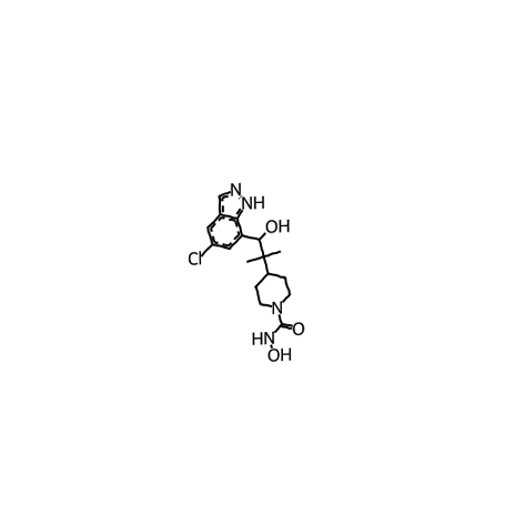 CC(C)(C1CCN(C(=O)NO)CC1)C(O)c1cc(Cl)cc2cn[nH]c12